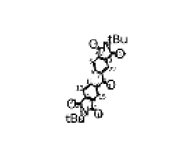 CC(C)(C)N1C(=O)c2ccc(C(=O)c3ccc4c(c3)C(=O)N(C(C)(C)C)C4=O)cc2C1=O